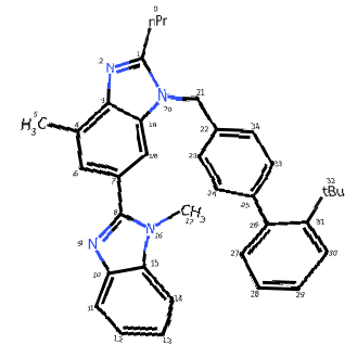 CCCc1nc2c(C)cc(-c3nc4ccccc4n3C)cc2n1Cc1ccc(-c2ccccc2C(C)(C)C)cc1